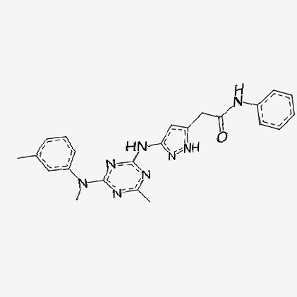 Cc1cccc(N(C)c2nc(C)nc(Nc3cc(CC(=O)Nc4ccccc4)[nH]n3)n2)c1